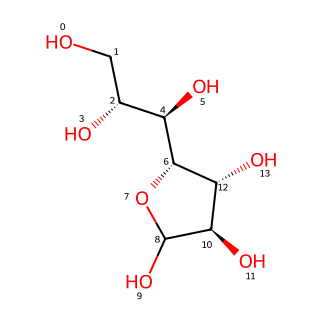 OC[C@@H](O)[C@@H](O)[C@H]1OC(O)[C@H](O)[C@H]1O